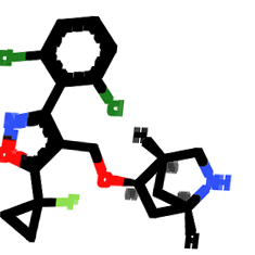 FC1(c2onc(-c3c(Cl)cccc3Cl)c2CO[C@@H]2C[C@@H]3C[C@H]2CN3)CC1